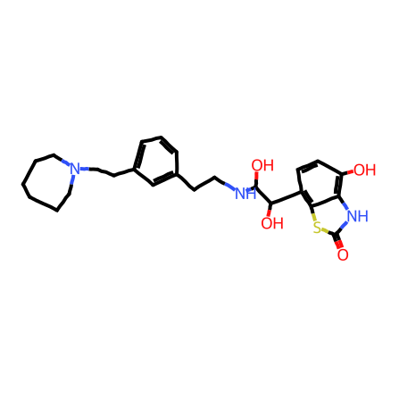 O=c1[nH]c2c(O)ccc(C(O)C(O)NCCc3cccc(CCN4CCCCCC4)c3)c2s1